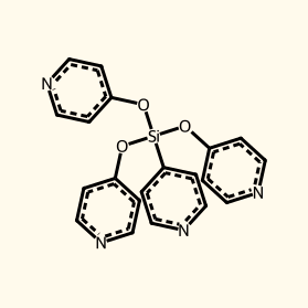 c1cc(O[Si](Oc2ccncc2)(Oc2ccncc2)c2ccncc2)ccn1